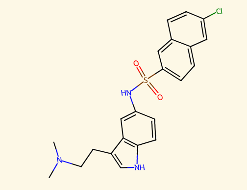 CN(C)CCc1c[nH]c2ccc(NS(=O)(=O)c3ccc4cc(Cl)ccc4c3)cc12